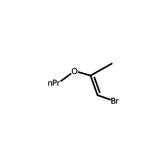 CCCOC(C)=CBr